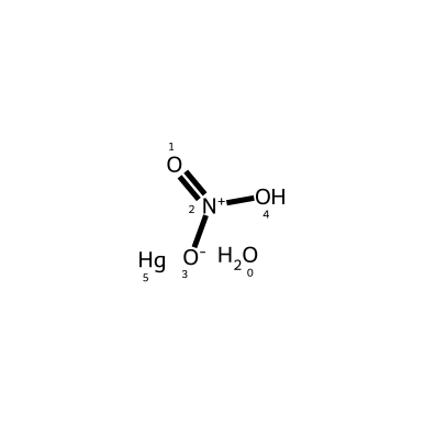 O.O=[N+]([O-])O.[Hg]